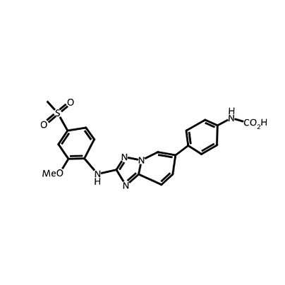 COc1cc(S(C)(=O)=O)ccc1Nc1nc2ccc(-c3ccc(NC(=O)O)cc3)cn2n1